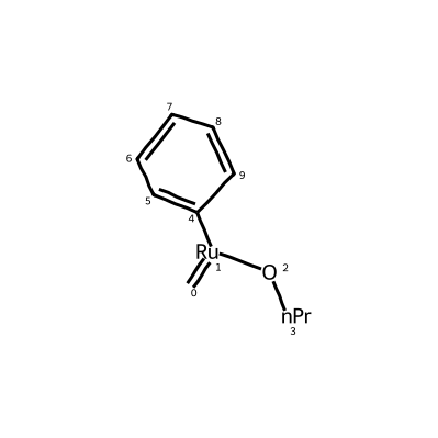 [CH2]=[Ru]([O]CCC)[c]1ccccc1